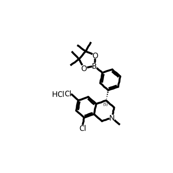 CN1Cc2c(Cl)cc(Cl)cc2[C@H](c2cccc(B3OC(C)(C)C(C)(C)O3)c2)C1.Cl